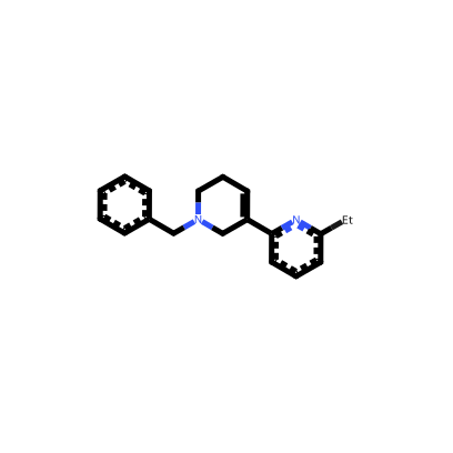 CCc1cccc(C2=CCCN(Cc3ccccc3)C2)n1